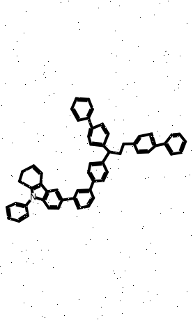 C1=Cc2c(n(-c3ccccc3)c3ccc(-c4cccc(-c5ccc(C(CCc6ccc(-c7ccccc7)cc6)c6ccc(-c7ccccc7)cc6)cc5)c4)cc23)CC1